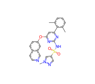 Cc1cccc(C)c1-c1cc(Oc2ccc3ccncc3c2)nc(NS(=O)(=O)c2cnn(C)c2)n1